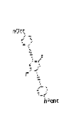 CCCCCCCCc1ccc(C#Cc2cc(F)c(C#Cc3ccc(CCCCC)cc3)cc2F)cc1